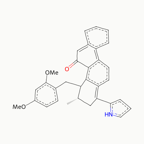 COc1ccc(CC2c3c4c(ccc3=C(c3ccc[nH]3)C[C@@H]2C)=c2ccccc2=CC4=O)c(OC)c1